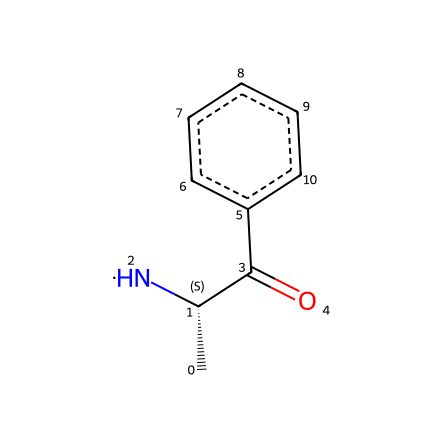 C[C@H]([NH])C(=O)c1ccccc1